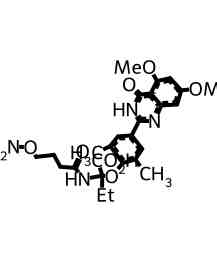 CCC(NC(=O)CCCO[N+](=O)[O-])(Oc1c(C)cc(-c2nc3cc(OC)cc(OC)c3c(=O)[nH]2)cc1C)C(=O)O